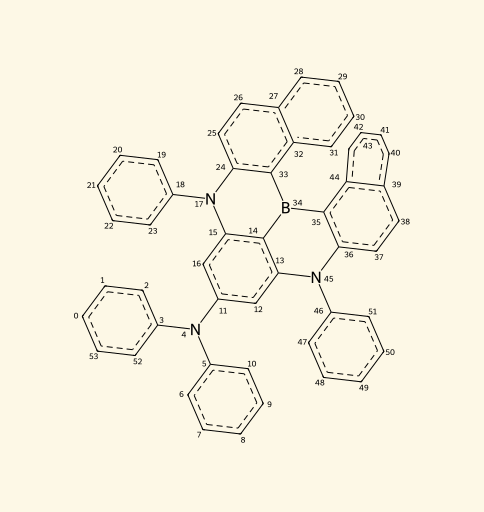 c1ccc(N(c2ccccc2)c2cc3c4c(c2)N(c2ccccc2)c2ccc5ccccc5c2B4c2c(ccc4ccccc24)N3c2ccccc2)cc1